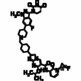 CC(C)Oc1nc2nc(C3CCC(CN4CCC(c5cc6c(cc5F)c(N5CCC(=O)NC5=O)nn6C)CC4)CC3)cn2cc1C(=O)Nc1cccn([C@H]2C[C@H]2F)c1=O